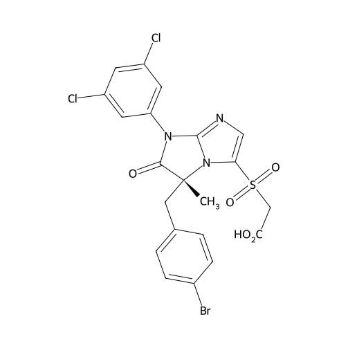 C[C@@]1(Cc2ccc(Br)cc2)C(=O)N(c2cc(Cl)cc(Cl)c2)c2ncc(S(=O)(=O)CC(=O)O)n21